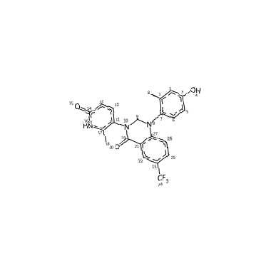 Cc1cc(O)ccc1N1CN(c2ccc(=O)[nH]c2C)C(=O)c2cc(C(F)(F)F)ccc21